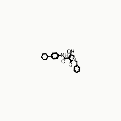 O=C(Nc1ccc(C2CCCCC2)cc1)C1=C(O)CN(Cc2ccccc2)C1=O